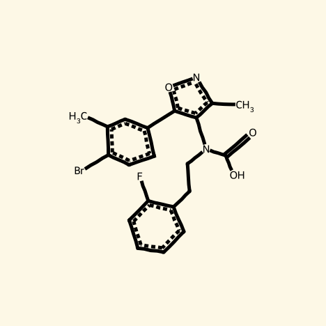 Cc1cc(-c2onc(C)c2N(CCc2ccccc2F)C(=O)O)ccc1Br